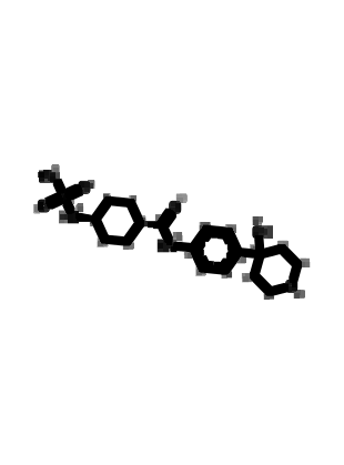 CC(C)(C)S(=O)(=O)N[C@H]1CC[C@H](C(=O)Nc2ccc(C3(O)CCOCC3)cc2)CC1